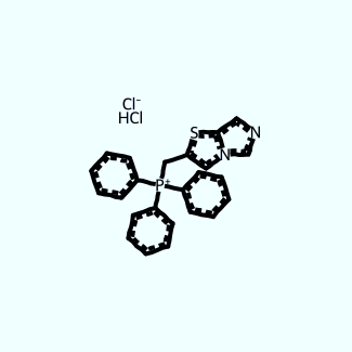 Cl.[Cl-].c1ccc([P+](Cc2cn3cncc3s2)(c2ccccc2)c2ccccc2)cc1